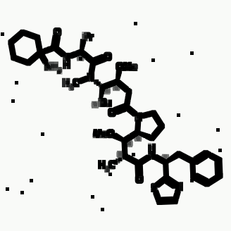 CC[C@H](C)[C@@H]([C@H](CC(=O)N1CCC[C@H]1[C@H](OC)[C@@H](C)C(=O)N[C@@H](Cc1ccccc1)c1nccs1)OC)N(C)C(=O)[C@@H](NC(=O)C1(N)CCCCC1)C(C)C